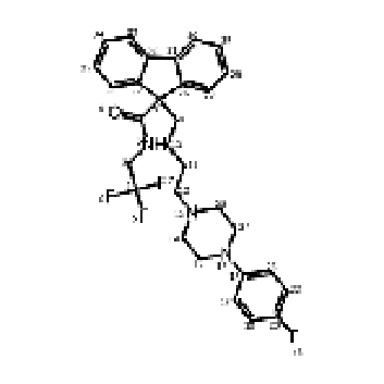 O=C(NCC(F)(F)F)C1(CCCCN2CCN(c3ccc(F)cc3)CC2)c2ccccc2-c2ccccc21